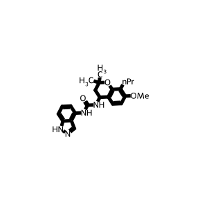 CCCc1c(OC)ccc2c1OC(C)(C)CC2NC(=O)Nc1cccc2[nH]ncc12